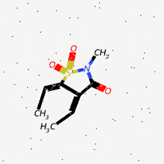 C/C=C1/C(=O)N(C)S(=O)(=O)/C1=C/C